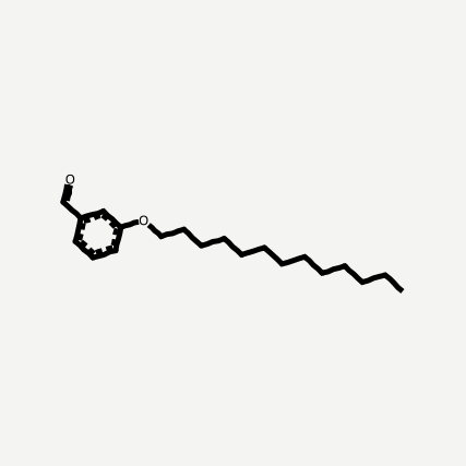 CCCCCCCCCCCCCOc1cccc(C=O)c1